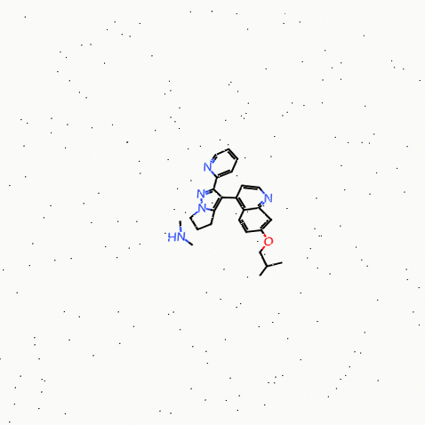 CC(C)COc1ccc2c(-c3c(-c4ccccn4)nn4c3CCC4)ccnc2c1.CNC